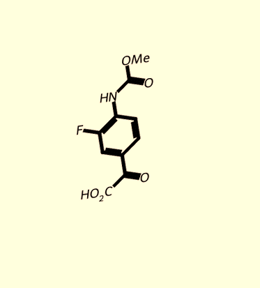 COC(=O)Nc1ccc(C(=O)C(=O)O)cc1F